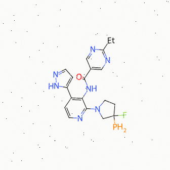 CCc1ncc(C(=O)Nc2c(-c3ccn[nH]3)ccnc2N2CCC(F)(P)C2)cn1